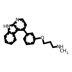 CNCCCOc1cccc(-c2ccnc3[nH]c4ccccc4c23)c1